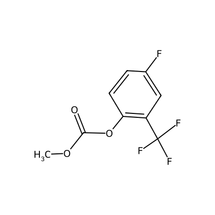 COC(=O)Oc1ccc(F)cc1C(F)(F)F